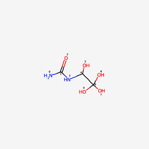 NC(=O)NC(O)C(O)(O)O